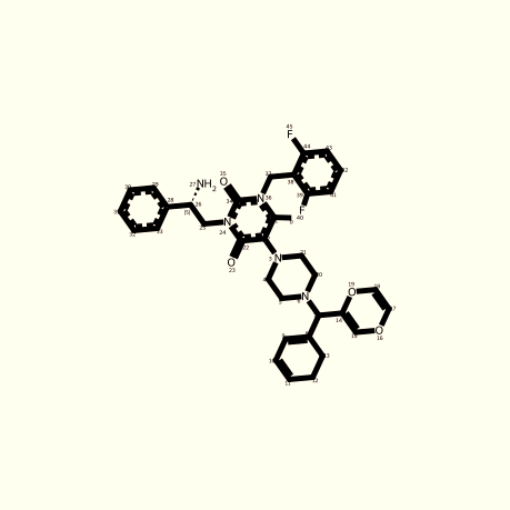 Cc1c(N2CCN(C(C3=CC=CCC3)C3=COC=CO3)CC2)c(=O)n(C[C@@H](N)c2ccccc2)c(=O)n1Cc1c(F)cccc1F